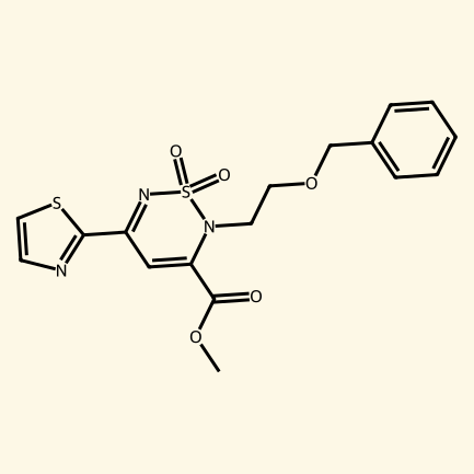 COC(=O)C1=CC(c2nccs2)=NS(=O)(=O)N1CCOCc1ccccc1